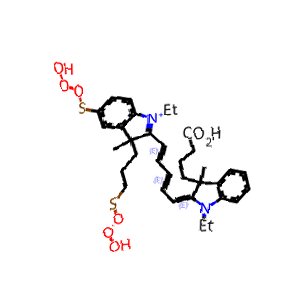 CCN1/C(=C/C=C/C=C/C2=[N+](CC)c3ccc(SOOO)cc3C2(C)CCCSOOO)C(C)(CCCC(=O)O)c2ccccc21